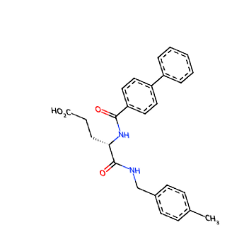 Cc1ccc(CNC(=O)[C@H](CCC(=O)O)NC(=O)c2ccc(-c3ccccc3)cc2)cc1